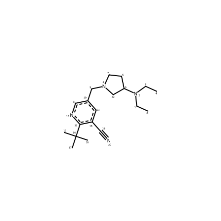 CCN(CC)C1CCN(Cc2cnc(C(C)(C)C)c(C#N)c2)C1